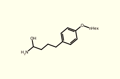 CCCCCCOc1ccc(CCCC(N)O)cc1